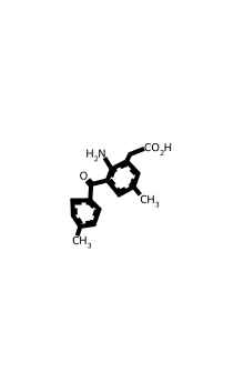 Cc1ccc(C(=O)c2cc(C)cc(CC(=O)O)c2N)cc1